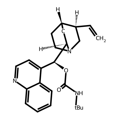 C=C[C@H]1CN2CC[C@H]1C[C@@H]2[C@@H](OC(=O)NC(C)(C)C)c1ccnc2ccccc12